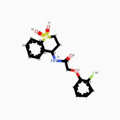 O=C(COc1ccccc1F)NC1CCS(=O)(=O)c2ccccc21